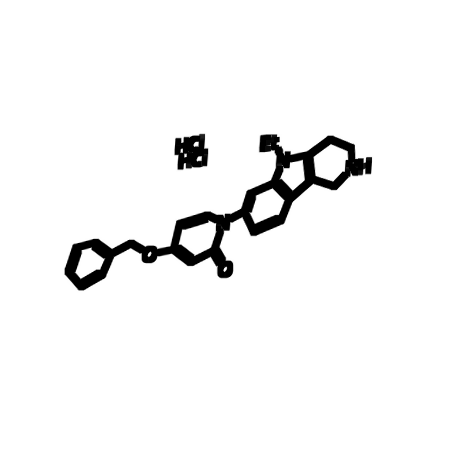 CCn1c2c(c3ccc(-n4ccc(OCc5ccccc5)cc4=O)cc31)CNCC2.Cl.Cl